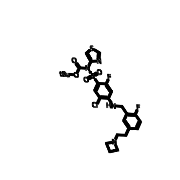 CC(C)(C)OC(=O)N(c1cscn1)S(=O)(=O)c1cc(Cl)c(NCc2cc(CCN3CCC3)ccc2F)cc1F